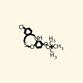 CC(C)(C)OOc1ccc2c(c1)NCc1ccc(Cl)cc1CCSCO2